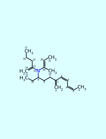 C=C(/C=C\C=C/C)CCC(CC)N(C(=C)CCC)/C(C)=C/C